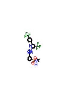 CC(C)(C)NS(=O)(=O)c1cccc(-c2ncn(-c3cc(C(F)(F)F)cc(-c4ccc(C(F)(F)F)cc4)n3)n2)c1